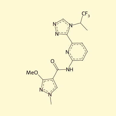 COc1nn(C)cc1C(=O)Nc1cccc(-c2nncn2C(C)C(F)(F)F)n1